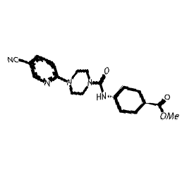 COC(=O)[C@H]1CC[C@H](NC(=O)N2CCN(c3ccc(C#N)cn3)CC2)CC1